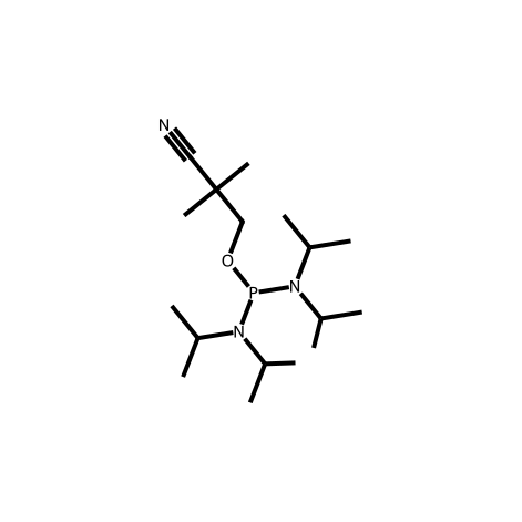 CC(C)N(C(C)C)P(OCC(C)(C)C#N)N(C(C)C)C(C)C